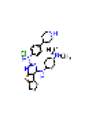 CN(C)C1CCC(Nc2nc(Nc3ccc(C4CCNCC4)cc3)nc3sc4c(c23)CCC4)CC1.Cl